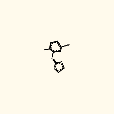 Cc1ccc(Br)cc1N=c1sccs1